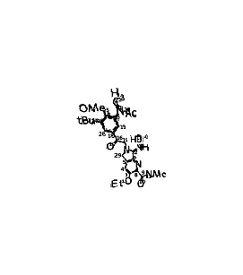 Br.CCOc1cc2c(nc1C(=O)NC)C(=N)N(CC(=O)c1cc(N(C)C(C)=O)c(OC)c(C(C)(C)C)c1)C2